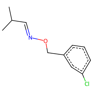 CC(C)C=NOCc1cccc(Cl)c1